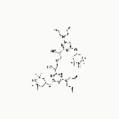 C=CCN(CC=C)c1nc(OC2CC(C)(C)NC(C)(C)C2)nc(C(O)CSCC(O)c2nc(OC3CC(C)(C)NC(C)(C)C3)nc(N(CC=C)CC=C)n2)n1